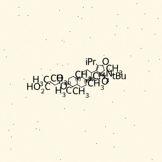 CC(C)C1=C2C3CCC4[C@@]5(C)CC[C@H](OC(=O)CC(C)(C)C(=O)O)C(C)(C)C5CC[C@@]4(C)[C@]3(C)CC[C@@]2(C(=O)N(C)C(C)(C)C)CC1=O